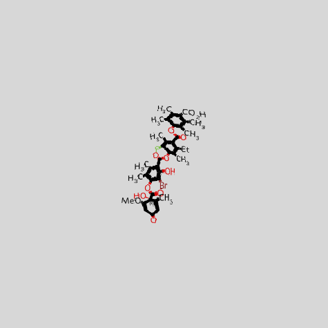 CCc1c(C)c(OC(=O)c2c(C)c(C)c(OC(=O)[C@@]3(O)C(C)=CC(=O)C=C3OC)c(Br)c2O)c(F)c(C)c1C(=O)Oc1c(C)c(C)c(C(=O)O)c(C)c1C